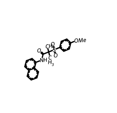 COc1ccc(S(=O)(=O)C(C)(C)C(=O)Nc2cccc3ccccc23)cc1